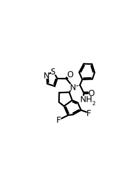 NC(=O)[C@@H](c1ccccc1)N(C(=O)c1ccns1)[C@@H]1CCc2c(F)cc(F)cc21